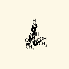 C=CCn1c(=O)c2cnc(Nc3ccc4c(c3)CCNC4)nc2n1-c1cccc(C(C)(C)CO)n1